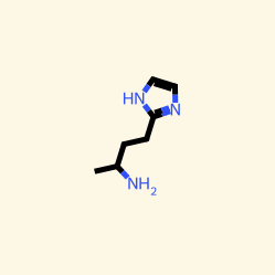 CC(N)CCc1ncc[nH]1